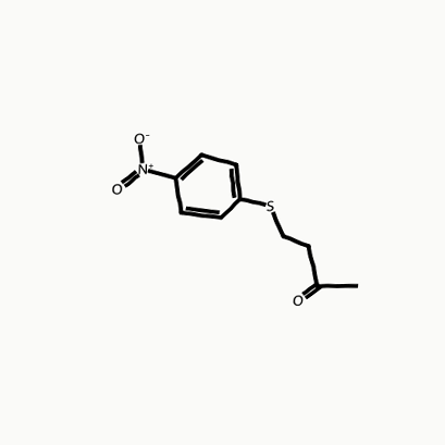 CC(=O)CCSc1ccc([N+](=O)[O-])cc1